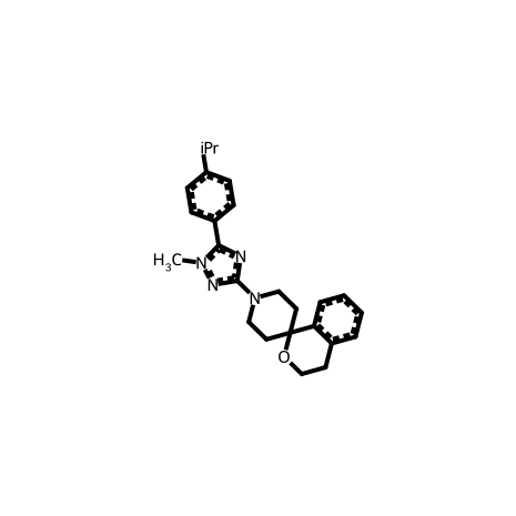 CC(C)c1ccc(-c2nc(N3CCC4(CC3)OCCc3ccccc34)nn2C)cc1